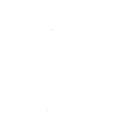 CC(C)OCCOc1ncc2[nH]c(=O)n(Cc3ccc(CN4CCCC4)cc3)c2n1